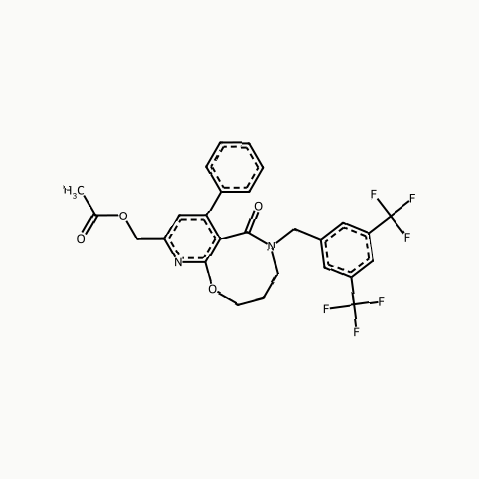 CC(=O)OCc1cc(-c2ccccc2)c2c(n1)OCCCN(Cc1cc(C(F)(F)F)cc(C(F)(F)F)c1)C2=O